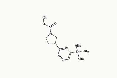 CCC[CH2][Sn]([CH2]CCC)([CH2]CCC)[c]1cccc(C2CCN(C(=O)OC(C)(C)C)C2)n1